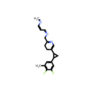 C=N/C=C\C=N/CC1=NC=C(C2CC2c2cc(C)c(F)c(F)c2)CC1